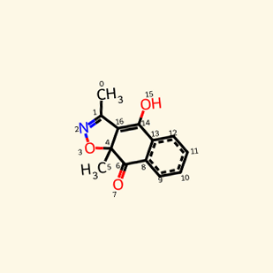 CC1=NOC2(C)C(=O)c3ccccc3C(O)=C12